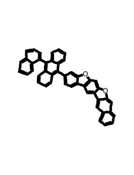 c1ccc2cc3c(cc2c1)oc1cc2oc4cc(-c5c6ccccc6c(-c6cccc7ccccc67)c6ccccc56)ccc4c2cc13